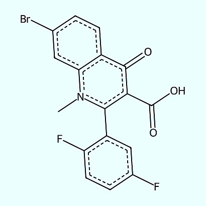 Cn1c(-c2cc(F)ccc2F)c(C(=O)O)c(=O)c2ccc(Br)cc21